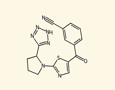 N#Cc1cccc(C(=O)c2cnc(N3CCCC3c3nn[nH]n3)s2)c1